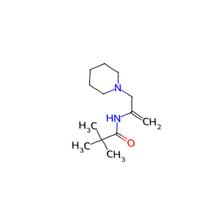 C=C(CN1CCCCC1)NC(=O)C(C)(C)C